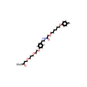 CNC(=O)CCOCCCOCCOc1ccc(CCNC(=O)COCCCCCCOc2ccc(C)cc2)cc1